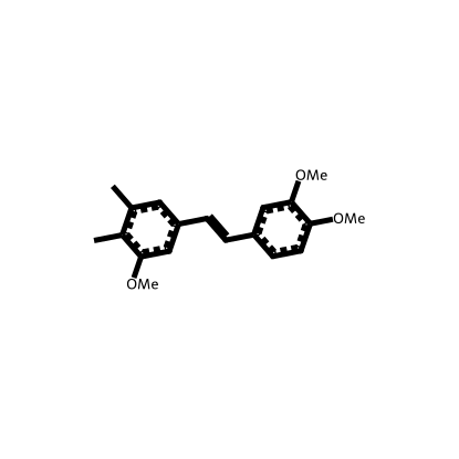 COc1ccc(C=Cc2cc(C)c(C)c(OC)c2)cc1OC